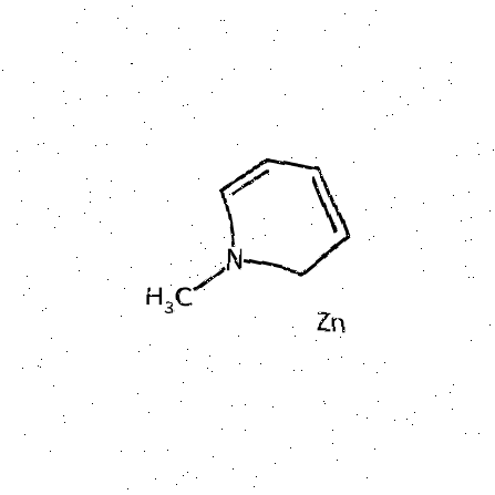 CN1C=CC=CC1.[Zn]